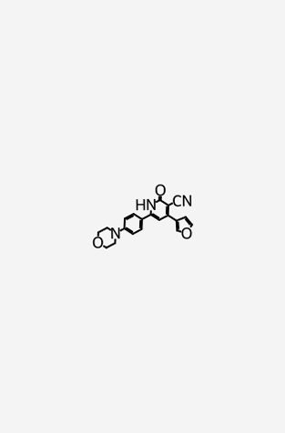 N#Cc1c(-c2ccoc2)cc(-c2ccc(N3CCOCC3)cc2)[nH]c1=O